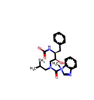 CC(C)CN(C[C@H](O)[C@H](Cc1ccccc1)NC(=O)[O-])C(=O)[N+]1(C)C=Nc2ccccc21